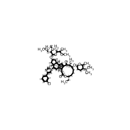 CC[C@H]1CCC[C@H](O[C@H]2CC[C@H](N(C)C)C(C)O2)[C@@H](C)C(=O)C2=C[C@@H]3[C@@H](C=C(n4cc(-c5cccc(Cl)c5)nn4)[C@@H]4C[C@@H](OC(OC(C)[C@@H](C)OC)[C@H](COC)OC)C[C@@H]34)[C@@H]2CC(=O)O1